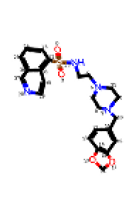 O=S(=O)(NCCN1CCN(Cc2ccc3c(c2)OCO3)CC1)c1cccc2cnccc12